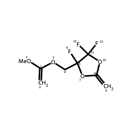 C=C(OC)OCC1(F)OC(=C)OC1(F)F